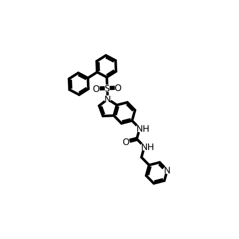 O=C(NCc1cccnc1)Nc1ccc2c(ccn2S(=O)(=O)c2ccccc2-c2ccccc2)c1